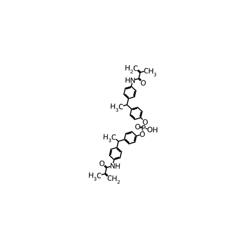 C=C(C)C(=O)Nc1ccc(C(C)c2ccc(OP(=O)(O)Oc3ccc(C(C)c4ccc(NC(=O)C(=C)C)cc4)cc3)cc2)cc1